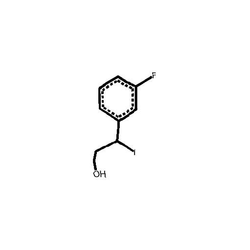 OCC(I)c1cccc(F)c1